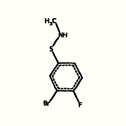 CNSc1ccc(F)c(Br)c1